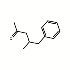 CC(=O)CC(C)Cc1ccccc1